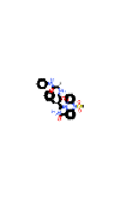 CC(Nc1c(C(N)=O)cccc1N(c1ccccc1)S(C)(=O)=O)[C@H](Cc1ccccc1)[C@@H](O)CN[C@@H](C)C(=O)NC1CCCCC1